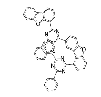 c1ccc(-c2nc(-c3ccccc3)nc(-c3cccc4oc5ccc(-c6nc(-c7cccc8c7oc7ccccc78)nc7c6sc6ccccc67)cc5c34)n2)cc1